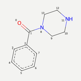 O=C(c1[c]cccc1)N1CCNCC1